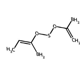 BC(=C)OSO/C(B)=C/C